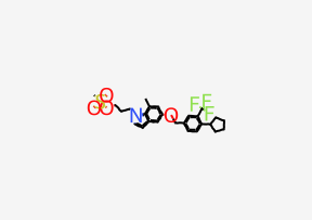 Cc1cc(OCc2ccc(C3CCCC3)c(C(F)(F)F)c2)cc2ccn(CCCOS(C)(=O)=O)c12